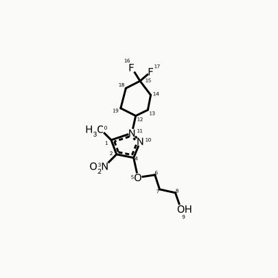 Cc1c([N+](=O)[O-])c(OCCCO)nn1C1CCC(F)(F)CC1